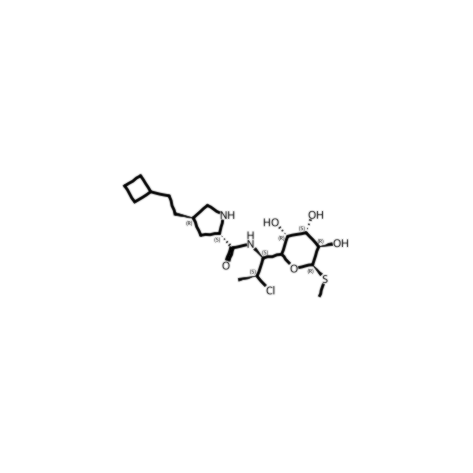 CS[C@H]1OC([C@H](NC(=O)[C@@H]2C[C@@H](CCC3CCC3)CN2)[C@H](C)Cl)[C@H](O)[C@H](O)[C@H]1O